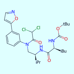 CCC(C)[C@H](NC(=O)OC(C)(C)C)C(=O)N[C@H](CN(C(=O)C(Cl)Cl)c1cccc(-c2ccno2)c1)C(C)C